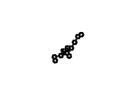 C[Si]1(C)c2cc(-c3ccc(-c4ccc5ccccc5c4)cc3)ccc2-c2c1c1c(c3ccccc23)-c2ccc(-c3cccc4ccccc34)cc2[Si]1(C)C